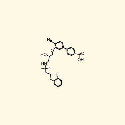 CC(C)(CCCc1ccccc1F)NCC(O)COc1cc(-c2ccc(C(=O)O)cc2)ccc1C#N